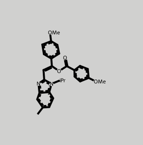 COc1ccc(C(=O)OC(=Cc2nc3cc(C)ccc3n2C(C)C)c2ccc(OC)cc2)cc1